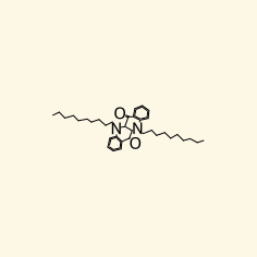 CCCCCCCCCCN1c2ccccc2C(=O)C2C1C(=O)c1ccccc1N2CCCCCCCCCC